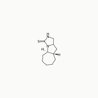 S=C1NCC2C[C@@H]3CCCCC[C@H]3N12